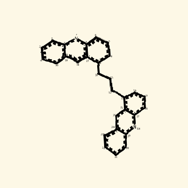 c1ccc2nc3cccc(CCCc4cccc5nc6ccccc6cc45)c3cc2c1